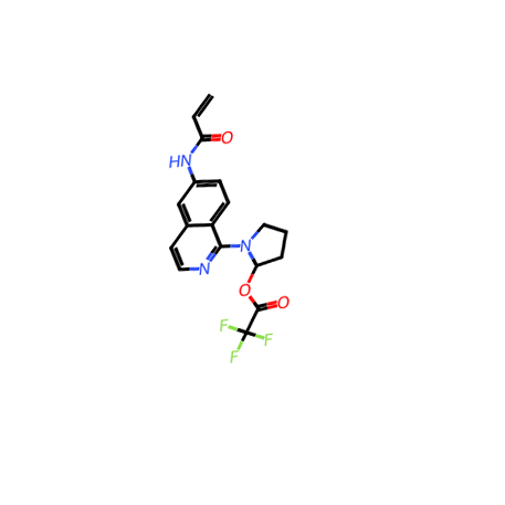 C=CC(=O)Nc1ccc2c(N3CCCC3OC(=O)C(F)(F)F)nccc2c1